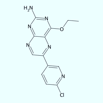 CCOc1nc(N)nc2ncc(-c3ccc(Cl)nc3)nc12